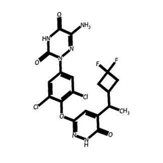 CC(c1cc(Oc2c(Cl)cc(-n3nc(N)c(=O)[nH]c3=O)cc2Cl)n[nH]c1=O)C1CC(F)(F)C1